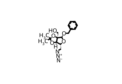 CC1(C)O[C@@H]2[C@@H](CN=[N+]=[N-])O[C@H](OCc3ccccc3)[C@]2(CO)O1